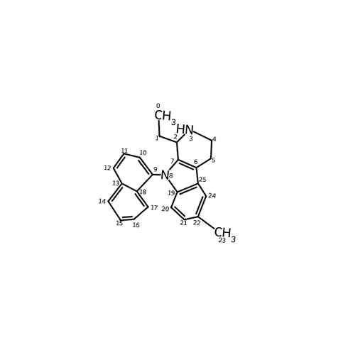 CCC1NCCc2c1n(-c1cccc3ccccc13)c1ccc(C)cc21